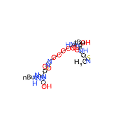 CCCCNc1ncc2c(-c3ccc(S(=O)(=O)N4CCN(CCOCCOCCOCCOCC(=O)N[C@H](C(=O)N5C[C@H](O)C[C@H]5C(=O)NCc5ccc(-c6scnc6C)cc5)C(C)(C)C)CC4)cc3)nn([C@H]3CC[C@H](O)CC3)c2n1